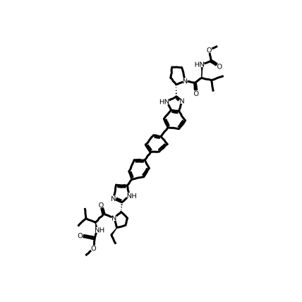 CC[C@@H]1CC[C@@H](c2ncc(-c3ccc(-c4ccc(-c5ccc6nc([C@@H]7CCCN7C(=O)[C@@H](NC(=O)OC)C(C)C)[nH]c6c5)cc4)cc3)[nH]2)N1C(=O)[C@@H](NC(=O)OC)C(C)C